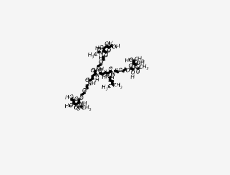 CC(=O)NC(O)C(OCCOCCNC(=O)C(CCC(=O)NC(CCC(=O)NCCOCCOC1OC(CO)C(O)C(O)C1NC(C)=O)C(=O)NCCOCCOC1OC(CO)C(O)C(O)C1NC(C)=O)NC(=O)CCC(C)C)OC(CO)C(C)O